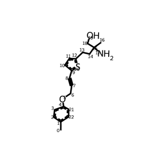 Cc1ccc(OCC#Cc2ccc(CCC(C)(N)CO)s2)cc1